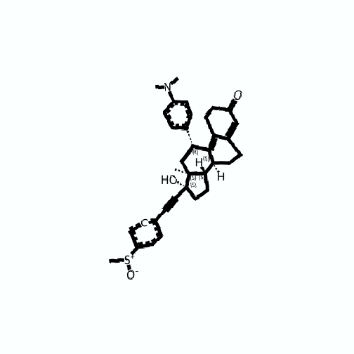 CN(C)c1ccc([C@H]2C[C@@]3(C)[C@@H](CC[C@@]3(O)C#Cc3ccc([S+](C)[O-])cc3)[C@@H]3CCC4=CC(=O)CCC4=C32)cc1